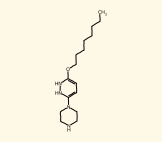 CCCCCCCCOC1=CC=C(N2CCNCC2)NN1